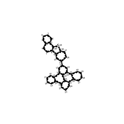 c1ccc2c(c1)ccc1c3cc(-c4cc5c6ccccc6c6cccc7c8ccccc8c(c4)c5c67)ccc3sc21